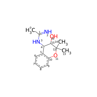 CC(=N)NC1c2ccccc2OC(C)(C)C1O